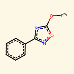 CCCOc1nc(-c2ccccc2)no1